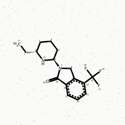 CC[C@@H]1CCC[C@@H](N2Cc3c(cccc3C(F)(F)F)C2=O)N1